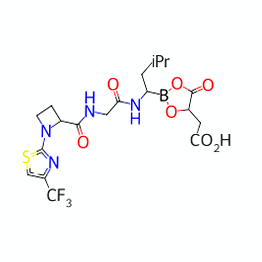 CC(C)CC(NC(=O)CNC(=O)C1CCN1c1nc(C(F)(F)F)cs1)B1OC(=O)C(CC(=O)O)O1